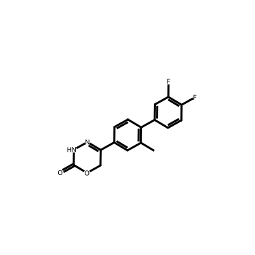 Cc1cc(C2=NNC(=O)OC2)ccc1-c1ccc(F)c(F)c1